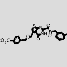 CCOC(=O)c1ccc(COCc2csc3nc(C(=O)NCc4cccc(Cl)c4)[nH]c(=O)c23)cc1